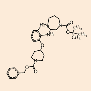 CC(C)(C)OC(=O)N1CCCCC(Nc2c(N)cccc2OC2CCN(C(=O)OCc3ccccc3)CC2)C1